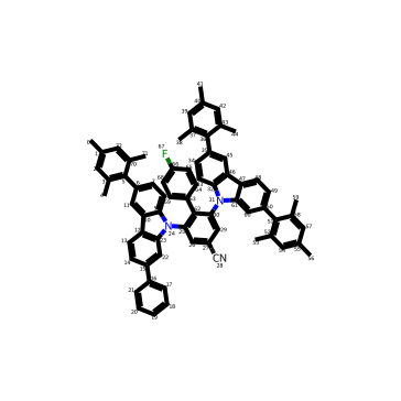 Cc1cc(C)c(-c2ccc3c(c2)c2ccc(-c4ccccc4)cc2n3-c2cc(C#N)cc(-n3c4ccc(-c5c(C)cc(C)cc5C)cc4c4ccc(-c5c(C)cc(C)cc5C)cc43)c2-c2ccc(F)cc2)c(C)c1